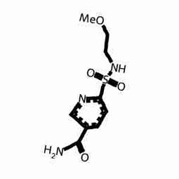 COCCNS(=O)(=O)c1ccc(C(N)=O)cn1